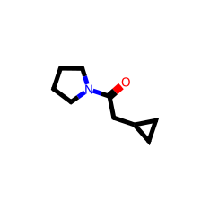 O=C(CC1CC1)N1CCCC1